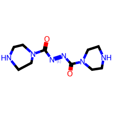 O=C(/N=N/C(=O)N1CCNCC1)N1CCNCC1